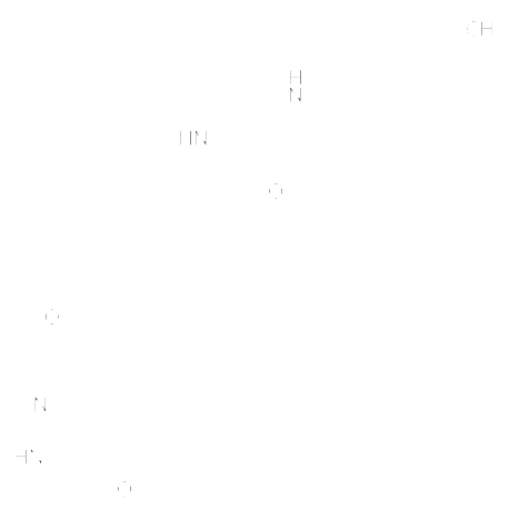 Cc1cccc(NC(=O)Nc2ccc(OC3=N/NCOC/C=C\3)cc2)c1